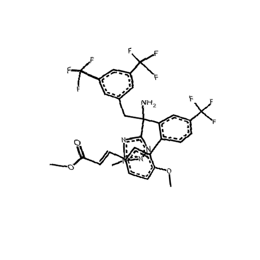 COC(=O)C=Cc1ccc(OC)c(-c2ccc(C(F)(F)F)cc2C(N)(Cc2cc(C(F)(F)F)cc(C(F)(F)F)c2)c2nnn(C)n2)c1